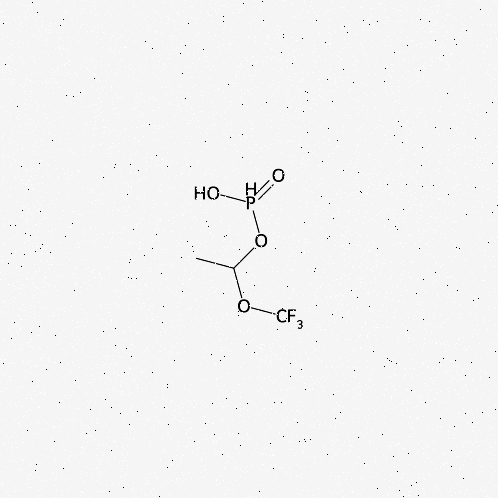 CC(O[PH](=O)O)OC(F)(F)F